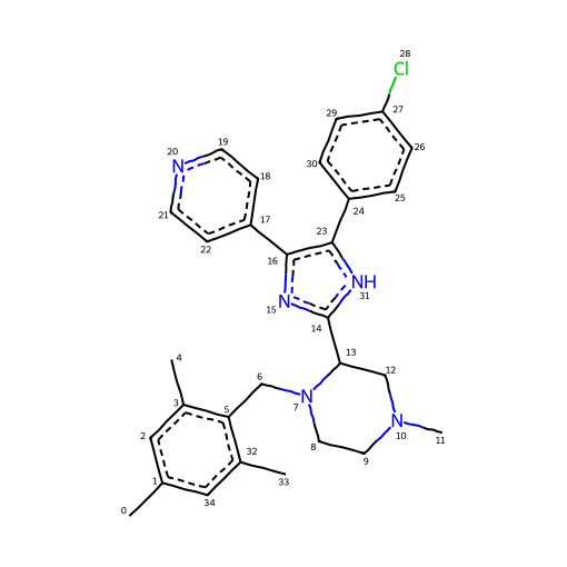 Cc1cc(C)c(CN2CCN(C)CC2c2nc(-c3ccncc3)c(-c3ccc(Cl)cc3)[nH]2)c(C)c1